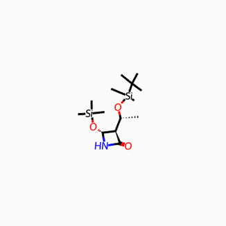 C[C@@H](O[Si](C)(C)C(C)(C)C)[C@H]1C(=O)N[C@@H]1O[Si](C)(C)C